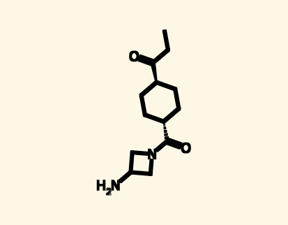 CCC(=O)[C@H]1CC[C@H](C(=O)N2CC(N)C2)CC1